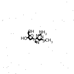 CSc1nc(N)nc2c1ncn2C1CC(O)C(CO)O1